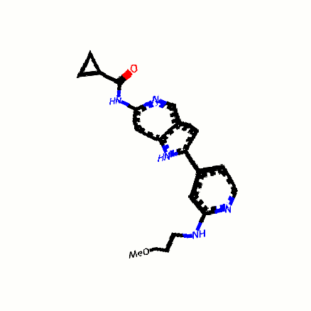 COCCNc1cc(-c2cc3cnc(NC(=O)C4CC4)cc3[nH]2)ccn1